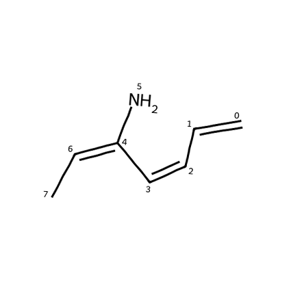 C=C/C=C\C(N)=C/C